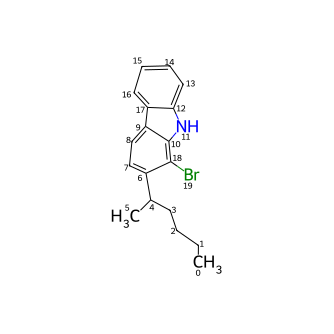 CCCCC(C)c1ccc2c([nH]c3ccccc32)c1Br